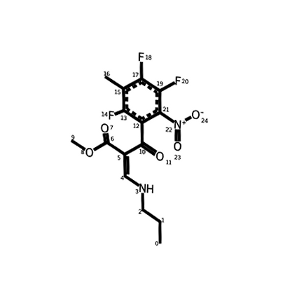 CCCN/C=C(/C(=O)OC)C(=O)c1c(F)c(C)c(F)c(F)c1[N+](=O)[O-]